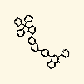 c1ccc(C2(c3ccccc3)c3ccccc3-c3c(-c4ccc5ccc(-c6ccc(-c7cc(-c8ccccn8)nc8ccccc78)cc6)cc5c4)cccc32)cc1